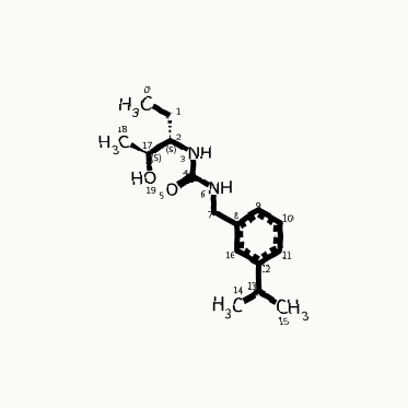 CC[C@H](NC(=O)NCc1cccc(C(C)C)c1)[C@H](C)O